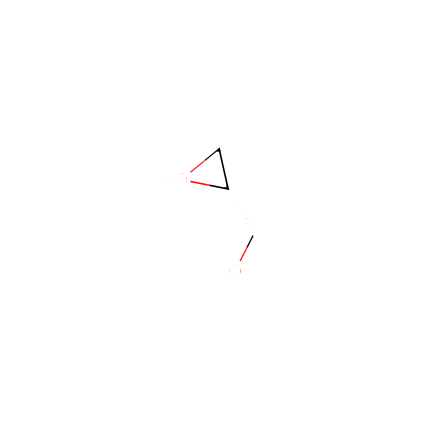 [O]C[C@H]1CO1